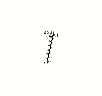 O=S(=O)(O)C(Cl)C(Cl)CCCCCCCCCCCCl